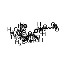 CC[C@H](C)[C@H](NC(=O)[C@H]1CCCCN1)C(=O)N(C)[C@H](C[C@@H](OC(C)=O)c1nc(C(=O)N[C@@H](Cc2ccc(NC(=O)CNC(=O)CCCCCN3C(=O)C=CC3=O)cc2)CC(C)C(=O)O)cs1)C(C)C